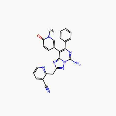 Cn1cc(-c2c(-c3ccccc3)nc(N)n3nc(Cc4ncccc4C#N)nc23)ccc1=O